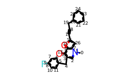 Cn1cc(Cc2ccc(F)cc2)c(=O)c2oc(C#CCc3ccccc3)cc21